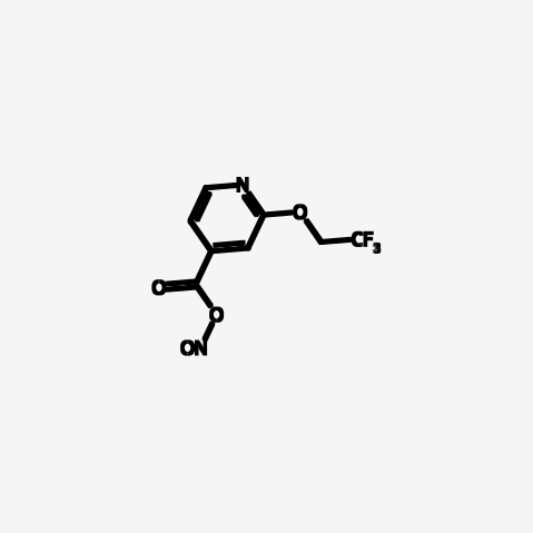 O=NOC(=O)c1ccnc(OCC(F)(F)F)c1